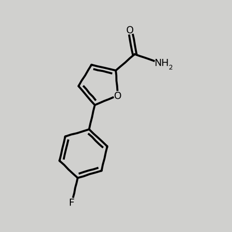 NC(=O)c1ccc(-c2ccc(F)cc2)o1